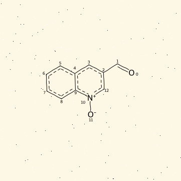 O=Cc1cc2ccccc2[n+]([O-])c1